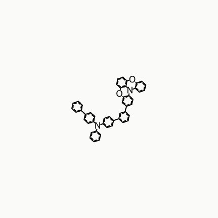 c1ccc(-c2ccc(N(c3ccccc3)c3ccc(-c4cccc(-c5ccc6c(c5)Oc5cccc7c5N6c5ccccc5O7)c4)cc3)cc2)cc1